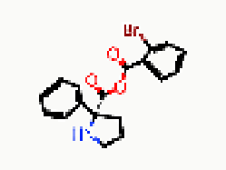 O=C(OC(=O)[C@]1(c2ccccc2)CCCN1)c1ccccc1Br